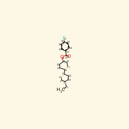 CC[C@H]1CC[C@H]([C@H]2CC[C@H](OC(=O)c3ccc(F)cc3)CC2)CC1